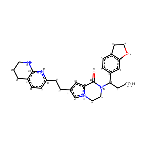 O=C(O)CC(c1ccc2c(c1)OCC2)N1CCn2cc(CCc3ccc4c(n3)NCCC4)cc2C1=O